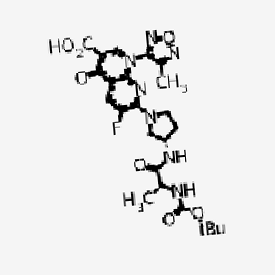 Cc1nonc1-n1cc(C(=O)O)c(=O)c2cc(F)c(N3CC[C@H](NC(=O)[C@H](C)NC(=O)OC(C)(C)C)C3)nc21